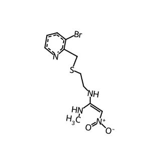 CNC(=C[N+](=O)[O-])NCCSCc1ncccc1Br